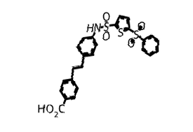 O=C(O)c1ccc(CCc2ccc(NS(=O)(=O)c3ccc(S(=O)(=O)c4ccccc4)s3)cc2)cc1